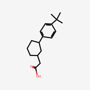 CC(C)(C)c1ccc(C2CCCC(CC(=O)O)C2)cc1